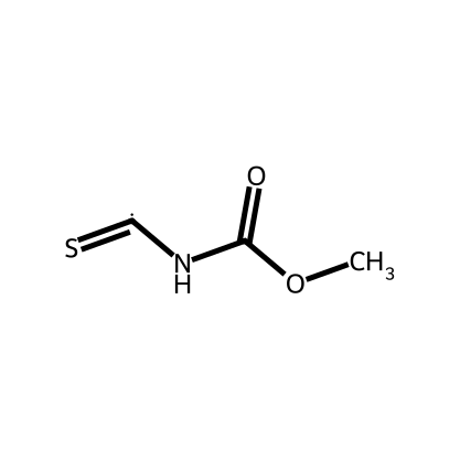 COC(=O)N[C]=S